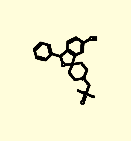 CP(C)(=O)CN1CCC2(CC1)OC(c1ccccc1)c1ccc(O)cc12